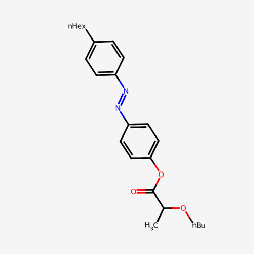 CCCCCCc1ccc(N=Nc2ccc(OC(=O)C(C)OCCCC)cc2)cc1